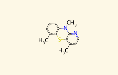 Cc1cccc2c1Sc1c(C)ccnc1N2C